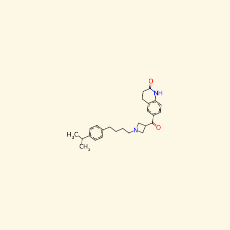 CC(C)c1ccc(CCCCN2CC(C(=O)c3ccc4c(c3)CCC(=O)N4)C2)cc1